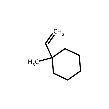 C=CC1(C)CCCCC1